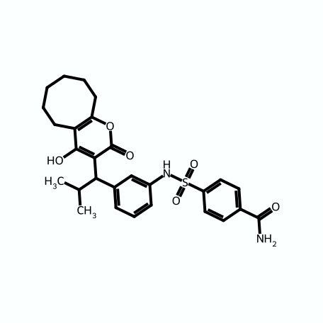 CC(C)C(c1cccc(NS(=O)(=O)c2ccc(C(N)=O)cc2)c1)c1c(O)c2c(oc1=O)CCCCCC2